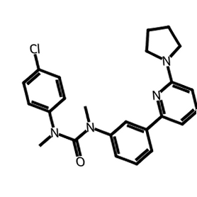 CN(C(=O)N(C)c1cccc(-c2cccc(N3CCCC3)n2)c1)c1ccc(Cl)cc1